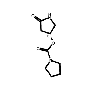 O=C1C[C@@H](OC(=O)N2CCCC2)CN1